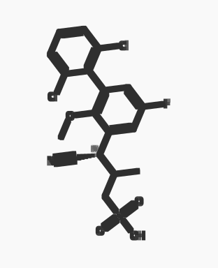 COc1c(-c2c(Cl)cccc2Cl)cc(F)cc1[C@@H](C#N)C(C)CS(=O)(=O)O